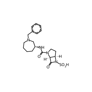 O=C(N[C@H]1CCCCN(Cc2ccccc2)C1)N1CC[C@@H]2[C@H]1C(=O)N2S(=O)(=O)O